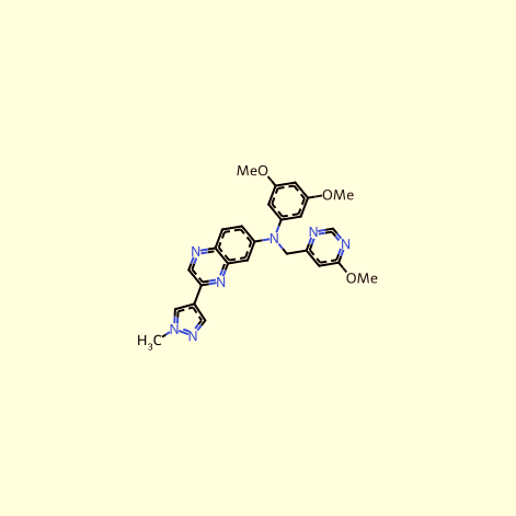 COc1cc(OC)cc(N(Cc2cc(OC)ncn2)c2ccc3ncc(-c4cnn(C)c4)nc3c2)c1